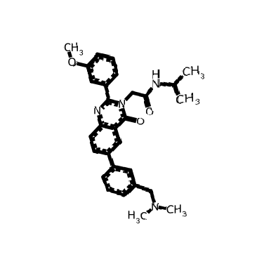 COc1cccc(-c2nc3ccc(-c4cccc(CN(C)C)c4)cc3c(=O)n2CC(=O)NC(C)C)c1